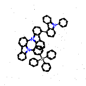 c1ccc(-n2c3ccccc3c3c(-c4cccc5c4c4ccccc4n5-c4cccc5c6ccccc6n(-c6cccc([Si](c7ccccc7)(c7ccccc7)c7ccccc7)c6)c45)cccc32)cc1